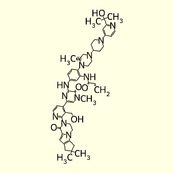 C=CC(=O)Nc1cc(Nc2nc(-c3ccnc(N4CCn5c(cc6c5CC(C)(C)C6)C4=O)c3CO)cn(C)c2=O)ccc1N1CCN(C2CCN(c3ccnc(C(C)(C)O)c3)CC2)C[C@@H]1C